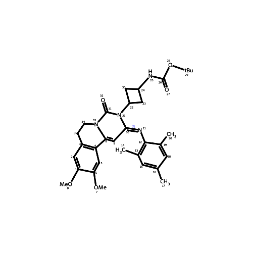 COc1cc2c(cc1OC)-c1c/c(=N\c3c(C)cc(C)cc3C)n(C3CC(NC(=O)OC(C)(C)C)C3)c(=O)n1CC2